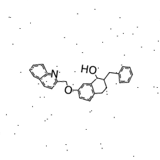 OC1c2cc(OCc3ccc4ccccc4n3)ccc2CCC1Cc1ccccc1